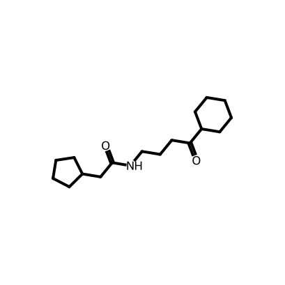 O=C(CC1CCCC1)NCCCC(=O)C1CCCCC1